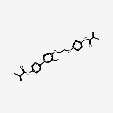 C=C(C)C(=O)Oc1ccc(OCCOc2ccc(-c3ccc(OC(=O)C(=C)C)cc3)cc2F)cc1